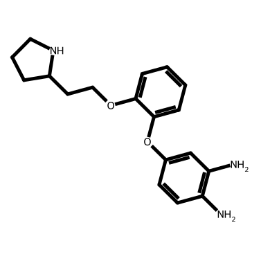 Nc1ccc(Oc2ccccc2OCCC2CCCN2)cc1N